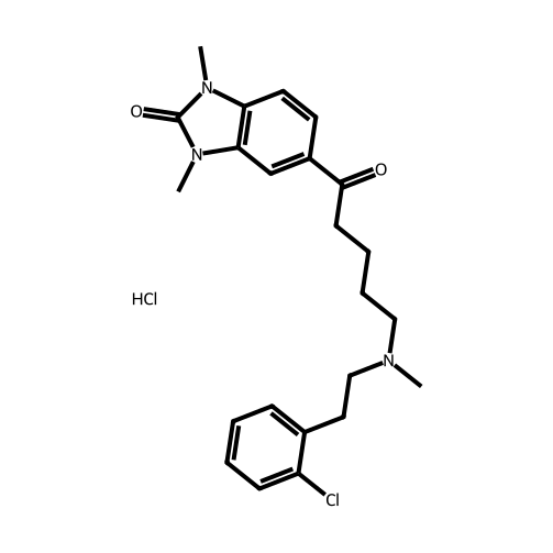 CN(CCCCC(=O)c1ccc2c(c1)n(C)c(=O)n2C)CCc1ccccc1Cl.Cl